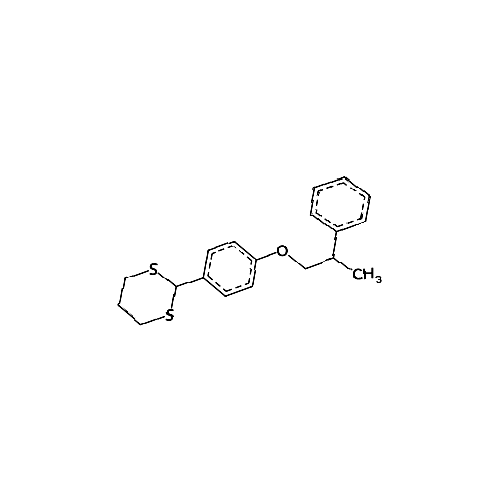 CC(COc1ccc(C2SCCCS2)cc1)c1ccccc1